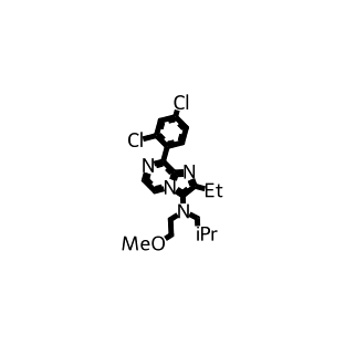 CCc1nc2c(-c3ccc(Cl)cc3Cl)nccn2c1N(CCOC)CC(C)C